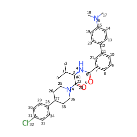 CC(C)[C@@H](NC(=O)c1cccc(-c2ccc(N(C)C)cc2)c1)C(=O)N1CCC(c2ccc(Cl)cc2)CC1